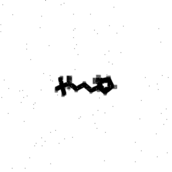 CC(C)(C)NCCCc1ccc[nH]1